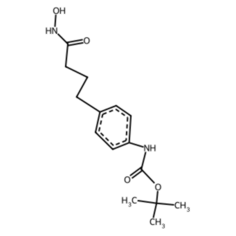 CC(C)(C)OC(=O)Nc1ccc(CCCC(=O)NO)cc1